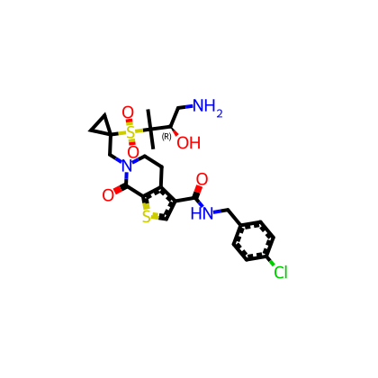 CC(C)([C@H](O)CN)S(=O)(=O)C1(CN2CCc3c(C(=O)NCc4ccc(Cl)cc4)csc3C2=O)CC1